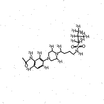 [2H]c1cc([2H])c(N([2H])C(C)=O)c([2H])c1N1CC([2H])N(C([2H])CCCN([2H])S(=O)(=O)C([2H])([2H])C([2H])(C([2H])([2H])[2H])C([2H])([2H])[2H])C([2H])C1